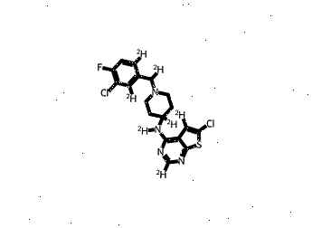 [2H]c1nc(N([2H])C2([2H])CCN(C([2H])c3c([2H])cc(F)c(Cl)c3[2H])CC2)c2c([2H])c(Cl)sc2n1